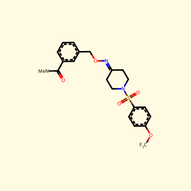 CNC(=O)c1cccc(CON=C2CCN(S(=O)(=O)c3ccc(OC(F)(F)F)cc3)CC2)c1